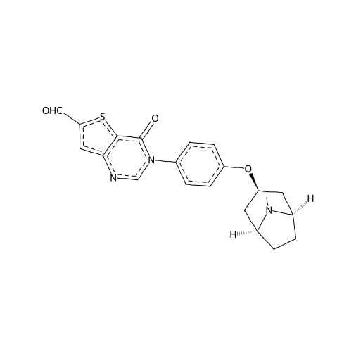 CN1[C@@H]2CC[C@H]1C[C@@H](Oc1ccc(-n3cnc4cc(C=O)sc4c3=O)cc1)C2